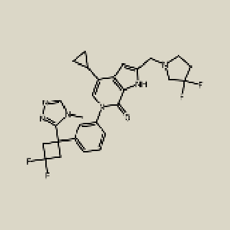 Cn1cnnc1C1(c2cccc(-n3cc(C4CC4)c4cc(CN5CCC(F)(F)C5)[nH]c4c3=O)c2)CC(F)(F)C1